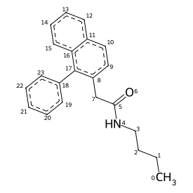 CCCCNC(=O)Cc1ccc2ccccc2c1-c1ccccc1